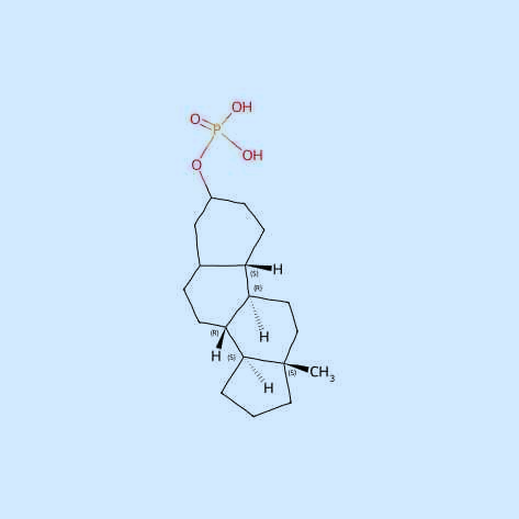 C[C@@]12CCC[C@H]1[C@@H]1CCC3CC(OP(=O)(O)O)CC[C@@H]3[C@H]1CC2